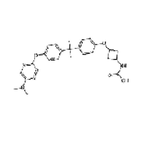 CN(C)c1cnc(Oc2ccc(C(C)(C)c3ccc(OC4CC(NC(=O)O)C4)cc3)cc2)cn1